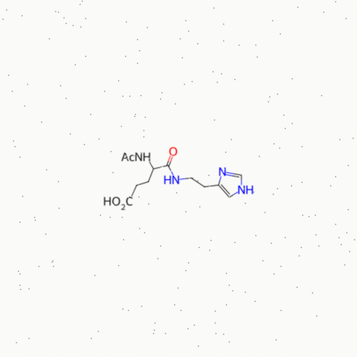 CC(=O)NC(CCC(=O)O)C(=O)NCCc1c[nH]cn1